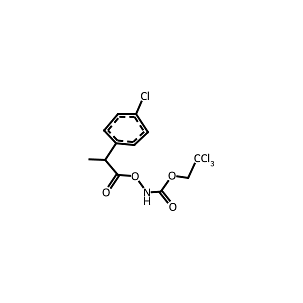 CC(C(=O)ONC(=O)OCC(Cl)(Cl)Cl)c1ccc(Cl)cc1